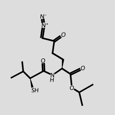 CC(C)OC(=O)[C@H](CCC(=O)C=[N+]=[N-])NC(=O)[C@@H](S)C(C)C